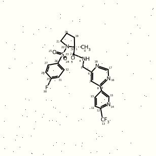 C[C@@]1(C(=O)NCc2cc(-c3ccc(C(F)(F)F)nc3)ncn2)CCCN1S(=O)(=O)c1ccc(F)cc1